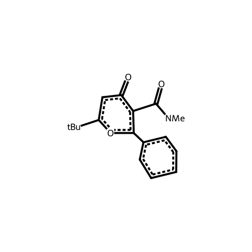 CNC(=O)c1c(-c2ccccc2)oc(C(C)(C)C)cc1=O